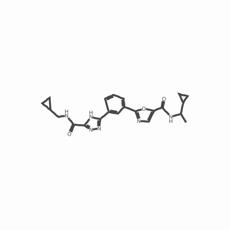 CC(NC(=O)c1cnc(-c2cccc(-c3nnc(C(=O)NCC4CC4)[nH]3)c2)o1)C1CC1